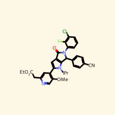 CCOC(=O)Cc1cc(-c2cc3c(n2C(C)C)C(c2ccc(C#N)cc2)N(c2cccc(Cl)c2F)C3=O)c(OC)cn1